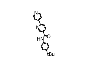 CC(C)(C)c1ccc(NC(=O)c2ccc(-c3ccncc3)nc2)cc1